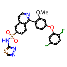 COc1cc(Oc2cc(F)ccc2F)ccc1-c1nccc2cc(S(=O)(=O)Nc3nncs3)ccc12